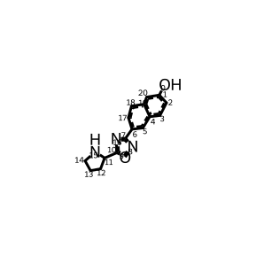 Oc1ccc2cc(-c3noc(C4CCCN4)n3)ccc2c1